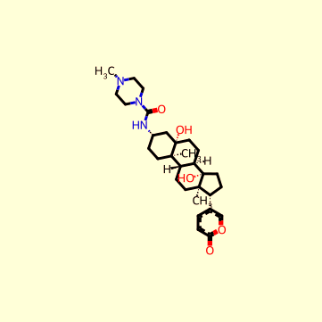 CN1CCN(C(=O)N[C@H]2CC[C@]3(C)[C@H]4CC[C@]5(C)[C@@H](c6ccc(=O)oc6)CC[C@]5(O)[C@@H]4CC[C@]3(O)C2)CC1